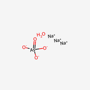 O.O=[As]([O-])([O-])[O-].[Na+].[Na+].[Na+]